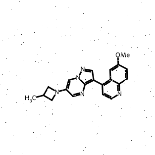 COc1ccc2nccc(-c3cnn4cc(N5CC(C)C5)cnc34)c2c1